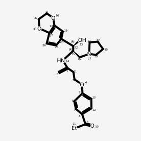 C=C(CCOc1ccc(C(=O)CC)cc1)N[C@H](CN1CCCC1)[C@H](O)c1ccc2c(c1)OCCO2